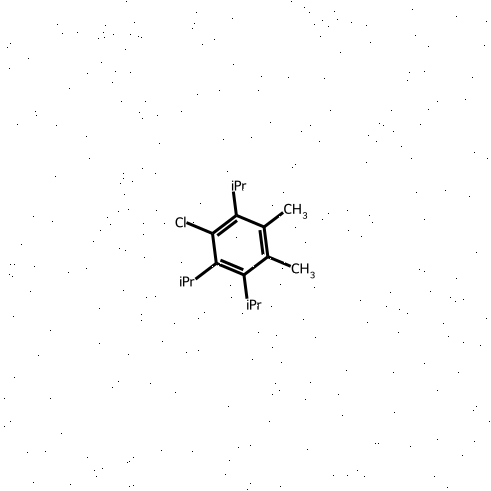 Cc1c(C)c(C(C)C)c(C(C)C)c(Cl)c1C(C)C